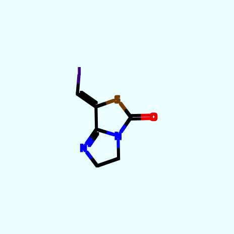 O=c1sc(=CI)c2n1CCN=2